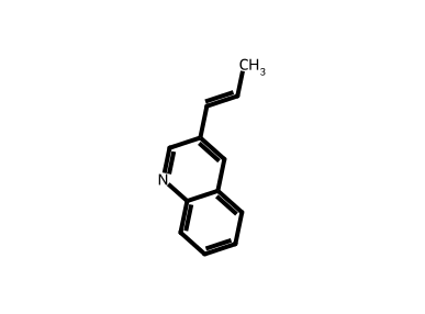 CC=Cc1cnc2ccccc2c1